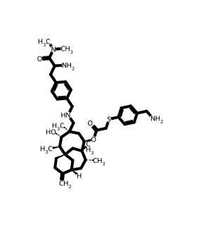 C=C1CC[C@]23C[C@@H]1C[C@@H](C)[C@](C)(C2)[C@H](OC(=O)CSc1ccc(CN)cc1)C[C@](C)(CNCc1ccc(CC(N)C(=O)N(C)C)cc1)[C@@H](O)[C@@H]3C